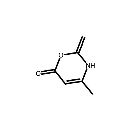 C=C1NC(C)=CC(=O)O1